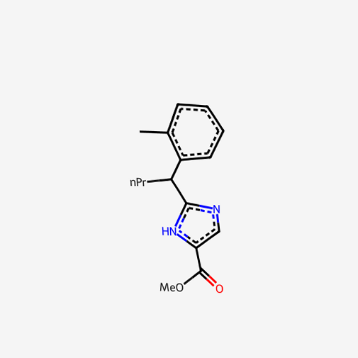 CCCC(c1ncc(C(=O)OC)[nH]1)c1ccccc1C